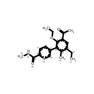 CCOc1c(C(C)=O)cc(CC)c(C)c1-c1ccc(C(=O)NC)nc1